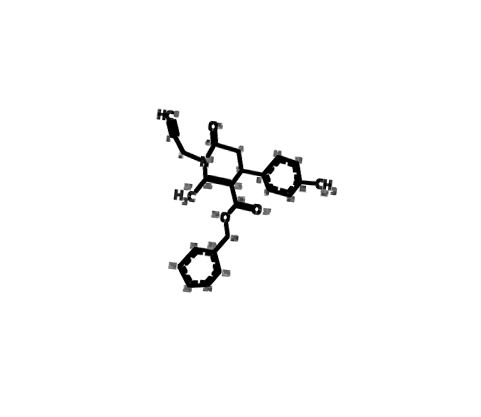 C#CCN1C(=O)CC(c2ccc(C)cc2)C(C(=O)OCc2ccccc2)=C1C